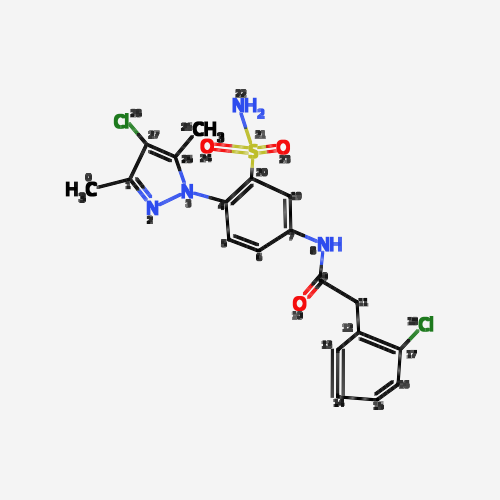 Cc1nn(-c2ccc(NC(=O)Cc3c#cccc3Cl)cc2S(N)(=O)=O)c(C)c1Cl